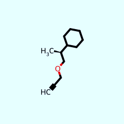 C#CCOC[C@@H](C)C1CCCCC1